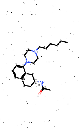 CCCCCCN1CCN(c2cccc3c2C[C@H](NC(C)=O)CC3)CC1